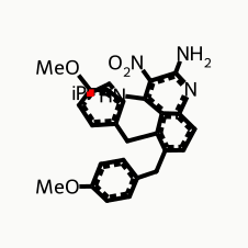 COc1ccc(Cc2ccc3nc(N)c([N+](=O)[O-])c(NCC(C)C)c3c2Cc2ccc(OC)cc2)cc1